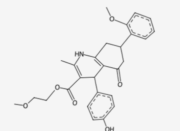 COCCOC(=O)C1=C(C)NC2=C(C(=O)CC(c3ccccc3OC)C2)C1c1ccc(O)cc1